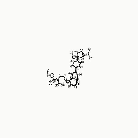 CCOC(=O)N1CCN(c2ccnn3cc(-c4ccc([C@@]5(OC)CCN(C(C)C)C5)cc4)cc23)CC1